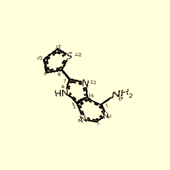 Nc1ncnc2[nH]c(-c3cccs3)nc12